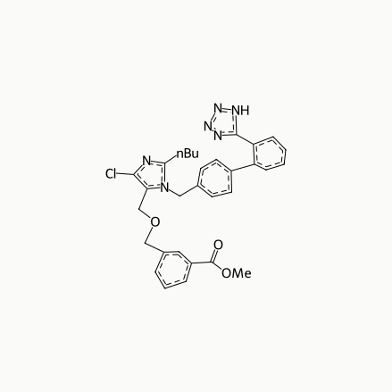 CCCCc1nc(Cl)c(COCc2cccc(C(=O)OC)c2)n1Cc1ccc(-c2ccccc2-c2nnn[nH]2)cc1